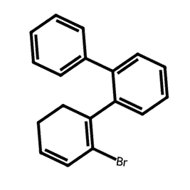 BrC1=C(c2ccccc2-c2ccccc2)CCC=C1